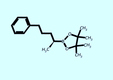 C[C@@H](CCCc1ccccc1)B1OC(C)(C)C(C)(C)O1